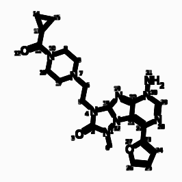 CN1C(=O)N(CCN2CCN(C(=O)C3CC3)CC2)C2N=C3C(=C(c4ccco4)N=CN3N)N21